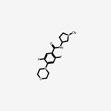 N#CN1CCC(NC(=O)c2cc(F)c(N3CCOCC3)cc2F)C1